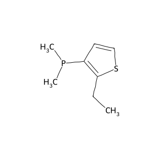 CCc1sccc1P(C)C